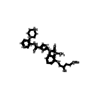 CCC(CCOC)COc1cccc2c1n(C)c(=O)n2-c1nc(C(=O)Nc2cnccc2N2CCNCC2)cs1